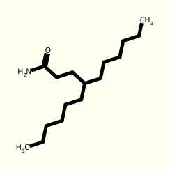 CCCCCCC(CCCCCC)CCC(N)=O